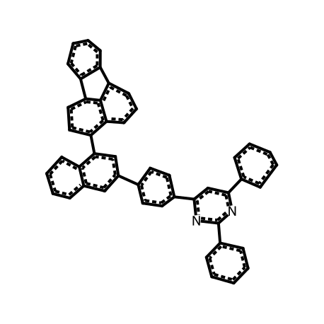 c1ccc(-c2cc(-c3ccc(-c4cc(-c5ccc6c7c(cccc57)-c5ccccc5-6)c5ccccc5c4)cc3)nc(-c3ccccc3)n2)cc1